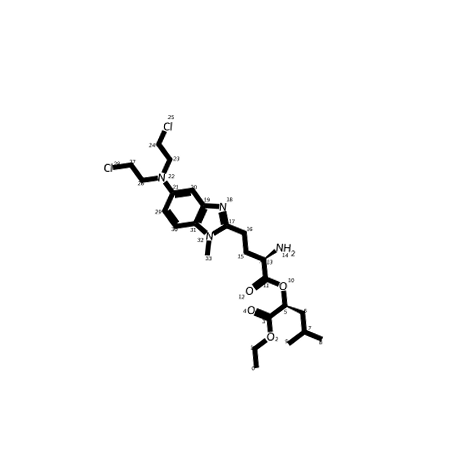 CCOC(=O)[C@H](CC(C)C)OC(=O)[C@H](N)CCc1nc2cc(N(CCCl)CCCl)ccc2n1C